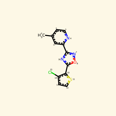 Cc1ccnc(-c2noc(-c3sccc3Cl)n2)c1